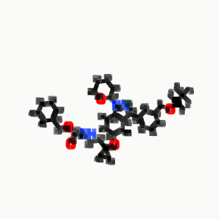 CC(C)(C)[Si](C)(C)OCc1cccc(-c2nn(C3CCCCO3)c3ccc(OC4(CCNC(=O)OCc5ccccc5)CC4)cc23)c1